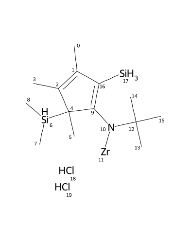 CC1=C(C)C(C)([SiH](C)C)C([N]([Zr])C(C)(C)C)=C1[SiH3].Cl.Cl